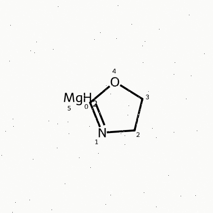 C1=NCCO1.[MgH2]